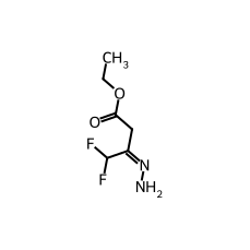 CCOC(=O)C/C(=N/N)C(F)F